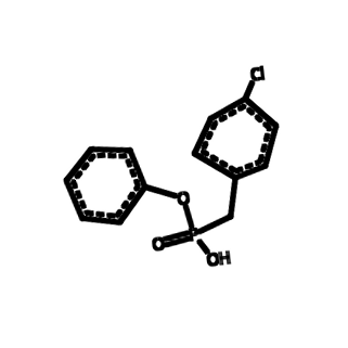 O=P(O)(Cc1ccc(Cl)cc1)Oc1ccccc1